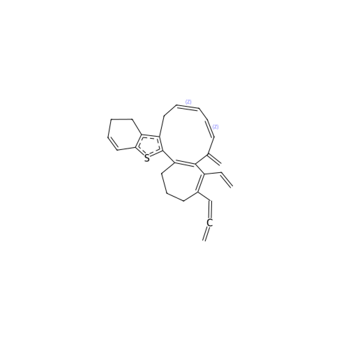 C=C=CC1=C(C=C)C2=C(CCC1)c1sc3c(c1C/C=C\C=C/C2=C)CCC=C3